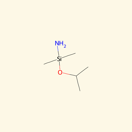 CC(C)O[Si](C)(C)N